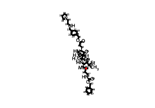 CCC(C)N[C@@H](CCC(=O)OCc1ccc(CNCCN2CCCC2)cc1)C(=O)C(C)(CC)C(C)(CC)N[C@@H](CCCCNC(=O)OCc1ccccc1)C(=O)C(C)(CC)NC